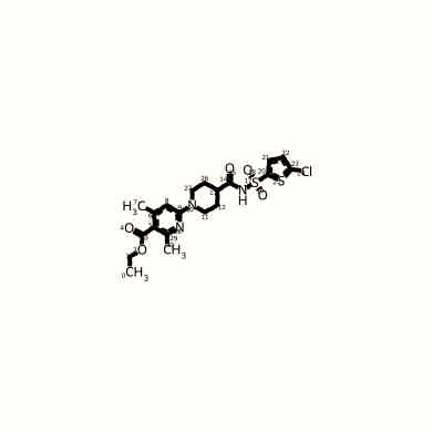 CCOC(=O)c1c(C)cc(N2CCC(C(=O)NS(=O)(=O)c3ccc(Cl)s3)CC2)nc1C